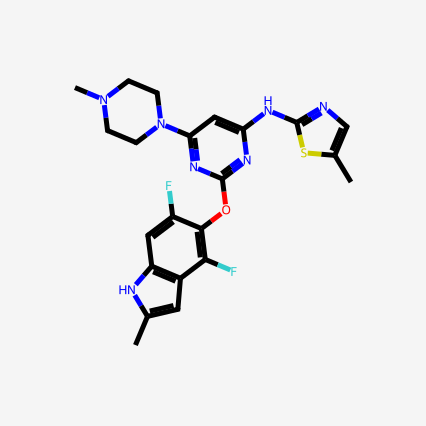 Cc1cc2c(F)c(Oc3nc(Nc4ncc(C)s4)cc(N4CCN(C)CC4)n3)c(F)cc2[nH]1